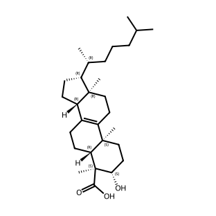 CC(C)CCC[C@@H](C)[C@H]1CC[C@H]2C3=C(CC[C@]12C)[C@@]1(C)CC[C@H](O)[C@@](C)(C(=O)O)[C@@H]1CC3